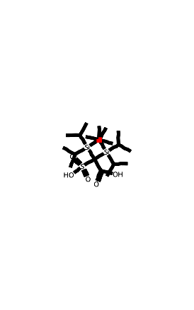 CC(C)[Si](C(C)C)(C(C)C)C(C(=O)O)([Si](C(C)C)(C(C)C)C(C)C)S(=O)(=O)O